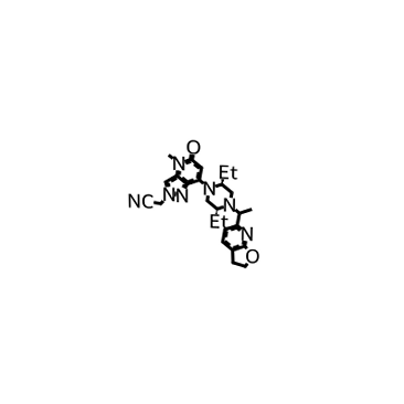 CC[C@H]1CN(C(C)c2ccc3c(n2)OCC3)[C@H](CC)CN1c1cc(=O)n(C)c2cn(CC#N)nc12